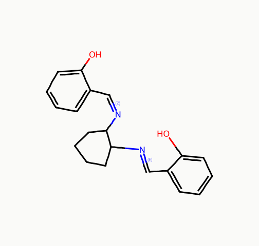 Oc1ccccc1/C=N\C1CCCCC1/N=C/c1ccccc1O